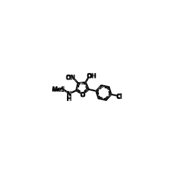 CSNc1oc(-c2ccc(Cl)cc2)c(O)c1N=O